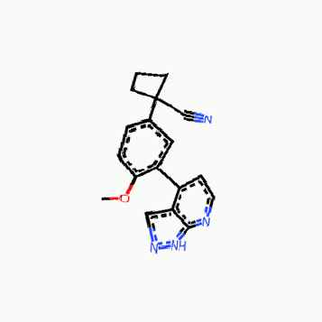 COc1ccc(C2(C#N)CCC2)cc1-c1ccnc2[nH]ncc12